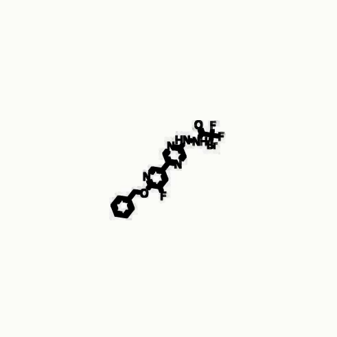 O=C(NNc1cnc(-c2cnc(OCc3ccccc3)c(F)c2)cn1)C(F)(F)Br